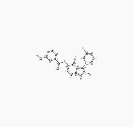 COc1cccc(C(=O)Cn2cnc3sc(C)c(-c4cccc(C)c4)c3c2=O)c1